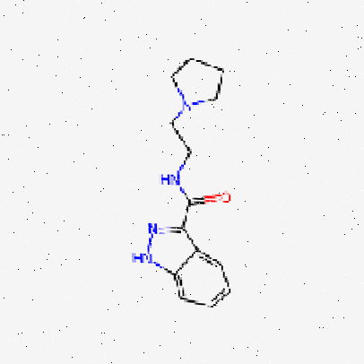 O=C(NCCN1CCCC1)c1n[nH]c2ccccc12